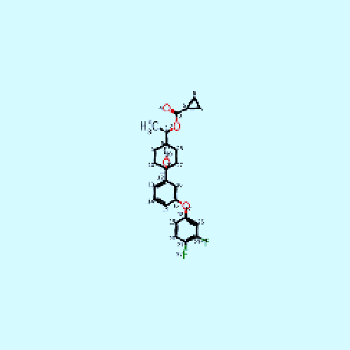 C[C@@H](OC(=O)C1CC1)C12CCC(c3cccc(Oc4ccc(F)c(F)c4)c3)(CC1)OC2